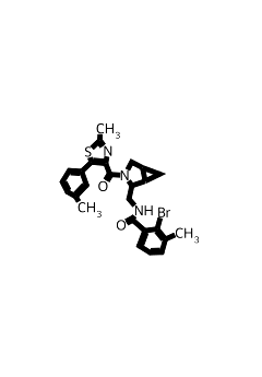 Cc1cccc(-c2sc(C)nc2C(=O)N2CC3CC3C2CNC(=O)c2cccc(C)c2Br)c1